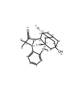 COc1ccccc1N1N(C2[C@@H]3CC4C[C@H]2CC(O)(C4)C3)C(=O)C1(C)C